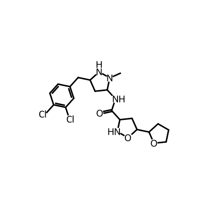 CN1NC(Cc2ccc(Cl)c(Cl)c2)CC1NC(=O)C1CC(C2CCCO2)ON1